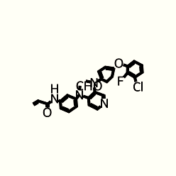 C=CC(=O)Nc1cccc(N(C=O)c2ccncc2N(C)C2=CC=C(Oc3cccc(Cl)c3F)CC2)c1